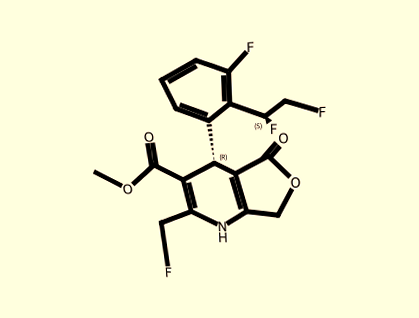 COC(=O)C1=C(CF)NC2=C(C(=O)OC2)[C@H]1c1cccc(F)c1[C@H](F)CF